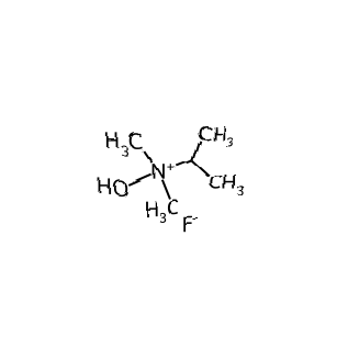 CC(C)[N+](C)(C)O.[F-]